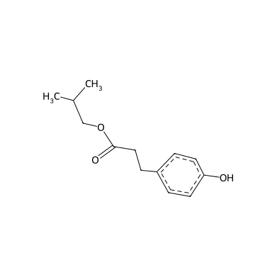 CC(C)COC(=O)CCc1ccc(O)cc1